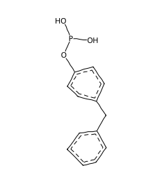 OP(O)Oc1ccc(Cc2ccccc2)cc1